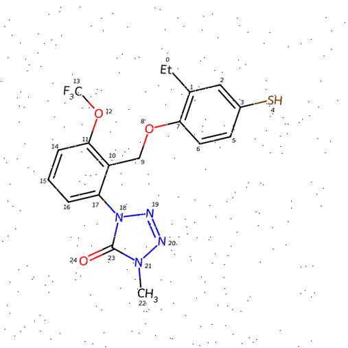 CCc1cc(S)ccc1OCc1c(OC(F)(F)F)cccc1-n1nnn(C)c1=O